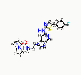 C/C=C\C(=O)N1CCC[C@H]1CNCCn1cnc2cnc(Nc3ncc(-c4ccc(F)cc4)s3)cc21